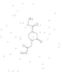 COC(=O)CN1CCN(C(=O)OC(C)(C)C)CC1=O